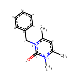 Cc1cc(C)[n+](C)c(=O)n1Cc1ccccc1